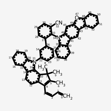 C=C/C=C\C1=C(C)C(C)(C)c2c1ccc1c3ccccc3n(-c3cccc(-c4cccc(C#N)c4-n4c5ccccc5c5cc6c(cc54)oc4ccccc46)c3)c21